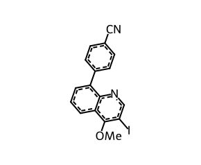 COc1c(I)cnc2c(-c3ccc(C#N)cc3)cccc12